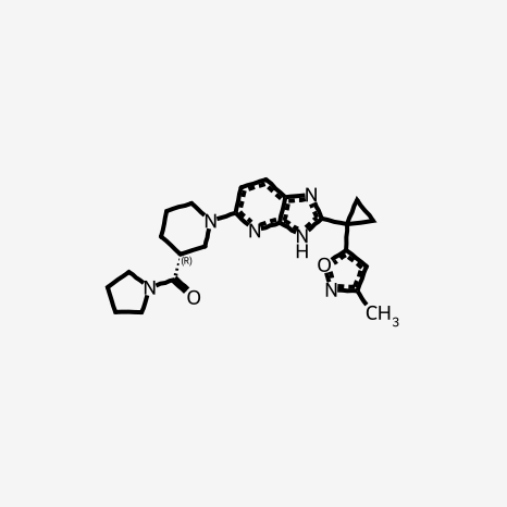 Cc1cc(C2(c3nc4ccc(N5CCC[C@@H](C(=O)N6CCCC6)C5)nc4[nH]3)CC2)on1